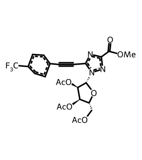 COC(=O)c1nc(C#Cc2ccc(C(F)(F)F)cc2)n([C@@H]2O[C@H](COC(C)=O)[C@@H](OC(C)=O)[C@H]2OC(C)=O)n1